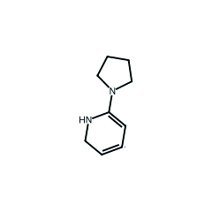 [C]1=CCNC(N2CCCC2)=C1